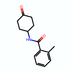 Cc1ccccc1C(=O)NC1CCC(=O)CC1